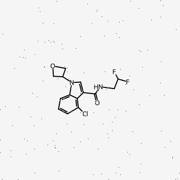 O=C(NCC(F)F)c1cn(C2COC2)c2cccc(Cl)c12